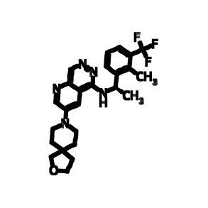 Cc1c([C@@H](C)Nc2nncc3ncc(N4CCC5(CCOC5)CC4)cc23)cccc1C(F)(F)F